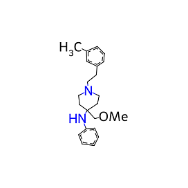 COCC1(Nc2ccccc2)CCN(CCc2cccc(C)c2)CC1